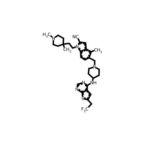 Cc1c(CN2CCC(Nc3ncnc4sc(CC(F)(F)F)cc34)CC2)ccc2c1cc(C#N)n2CCC1(C)CCN(C)CC1